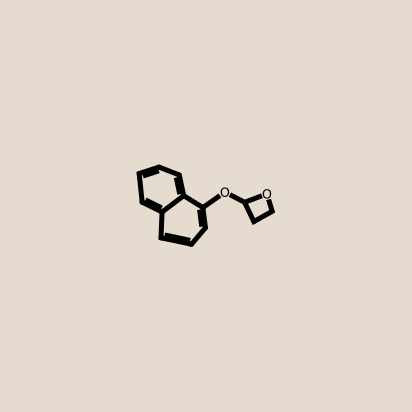 c1ccc2c(OC3CCO3)cccc2c1